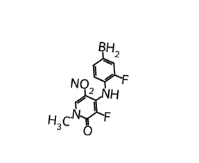 Bc1ccc(Nc2c([N+](=O)[O-])cn(C)c(=O)c2F)c(F)c1